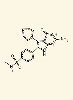 CN(C)S(=O)(=O)c1ccc(-c2[nH]c3nc(N)[nH]c(=O)c3c2-c2ccccc2)cc1